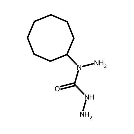 NNC(=O)N(N)C1CCCCCCC1